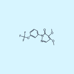 COc1cnn(-c2cccc(OC(F)(F)F)c2)c(=O)c1OC